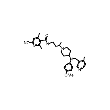 COc1ccc(N(Cc2cnccc2C)C2CCN(C(C)CCNC(=O)c3c(C)cc(C#N)nc3C)CC2)cc1